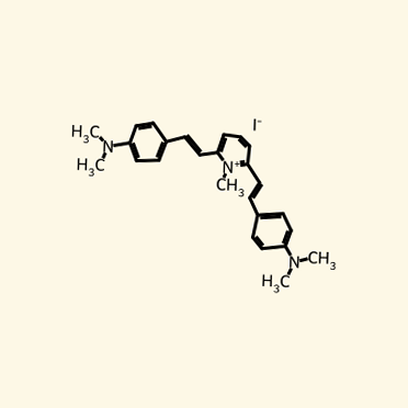 CN(C)c1ccc(C=Cc2cccc(C=Cc3ccc(N(C)C)cc3)[n+]2C)cc1.[I-]